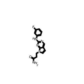 NC(=O)CCn1ccc2cnc(Nc3cccc(F)c3)nc21